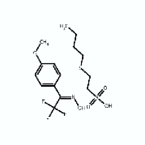 CCCCSCCS(=O)(=O)O.COc1ccc(C(=NO)C(F)(F)F)cc1